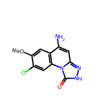 COc1cc2c(N)cc3n[nH]c(=O)n3c2cc1Cl